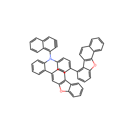 c1cc2ccccc2c(N(c2ccc(-c3cccc4oc5c6ccccc6ccc5c34)cc2)c2ccccc2C2=Cc3oc4ccccc4c3CC2)c#1